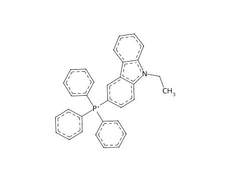 CCn1c2ccccc2c2cc([P+](c3ccccc3)(c3ccccc3)c3ccccc3)ccc21